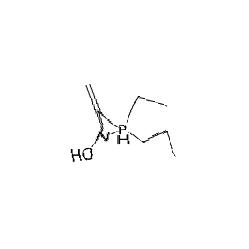 C=C1N(O)[PH]1(CC)CCC